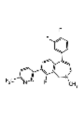 CN1CC=C(c2ccc(F)c(F)c2)c2ccc(-c3ccc(C(F)(F)F)nn3)c(F)c2C1